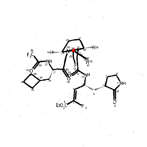 CCOC(=O)/C(F)=C/[C@@H](C[C@@H]1CCNC1=O)NC(=O)[C@@H]1[C@@H]2CC[C@@H](CC2(F)F)N1C(=O)[C@H](CC1CCC1)NC(=O)C(F)(F)F